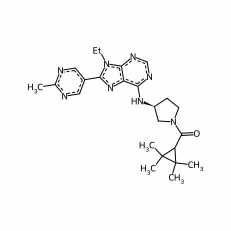 CCn1c(-c2cnc(C)nc2)nc2c(N[C@H]3CCN(C(=O)C4C(C)(C)C4(C)C)C3)ncnc21